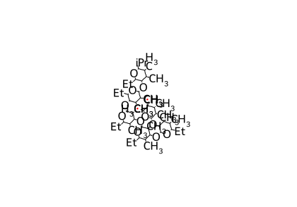 CCC1OC(C(C)C)C(C)[C@@H](C)[C@@H]1O[C@@H]1OC(CC)[C@H](O[C@H]2OC(CC)[C@H](C)[C@H](O[C@@H]3OC(CC)[C@H](C)[C@H](O[C@@H]4OC(CC)[C@H](C)[C@H](C)C4O[C@@H]4OC(C)[C@@H](C)[C@H](C)C4C)C3C)C2C)[C@H](C)C1C